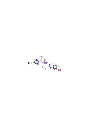 Cc1cnc(C(CC(=O)NC[C@H](Cc2ccc(O)c(Cl)c2)N(C)C)C2CC2)nc1